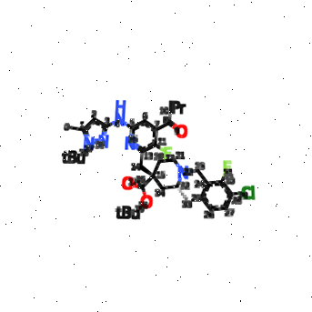 Cc1cc(Nc2cc(C(=O)C(C)C)c(F)c(C[C@@]3(C(=O)OC(C)(C)C)CCN(Cc4cccc(Cl)c4F)[C@H](C)C3)n2)nn1C(C)(C)C